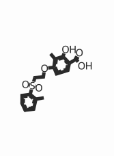 Cc1ccccc1S(=O)(=O)CCOc1ccc(C(=O)O)c(O)c1C